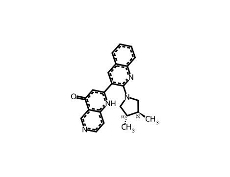 C[C@@H]1CN(c2nc3ccccc3cc2-c2cc(=O)c3cnccc3[nH]2)C[C@H]1C